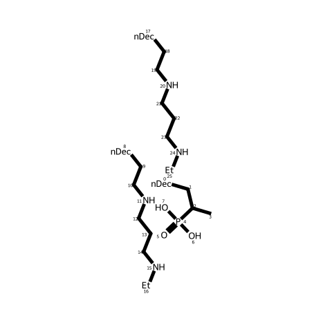 CCCCCCCCCCCC(C)P(=O)(O)O.CCCCCCCCCCCCNCCCNCC.CCCCCCCCCCCCNCCCNCC